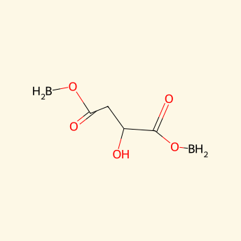 BOC(=O)CC(O)C(=O)OB